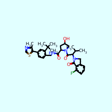 Cc1ncsc1-c1ccc(CNC(=O)C2CC(O)CN2C(=O)C(C(C)C)N2Cc3cccc(F)c3C2=O)c(C(C)(C)C)c1